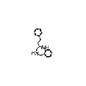 c1ccc(CC[C@@H]2CNCc3ccccc3N2)cc1